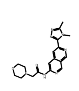 Cc1nnc(-c2cc3cc(NC(=O)CN4CCOCC4)ncc3cn2)n1C